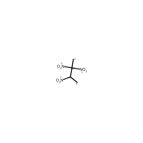 CC([N+](=O)[O-])C(C)([N+](=O)[O-])[N+](=O)[O-]